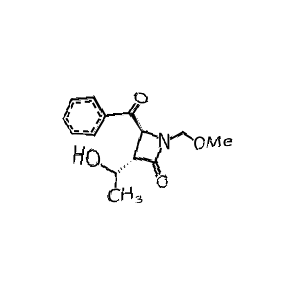 COCN1C(=O)[C@H](C(C)O)[C@H]1C(=O)c1ccccc1